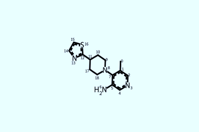 Cc1cncc(N)c1N1CCC(c2nccs2)CC1